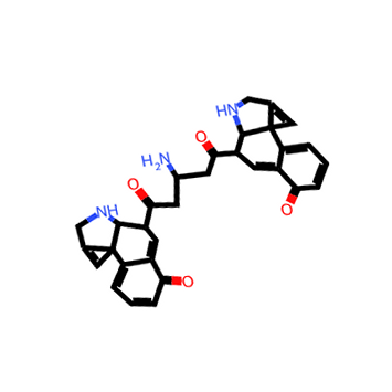 NC(CC(=O)C1C=C2C(=O)C=CC=C2C23C=C2CNC13)CC(=O)C1C=C2C(=O)C=CC=C2C23C=C2CNC13